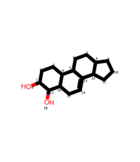 OC1CCC2C3CCC4CCCC4C3=CCC2C1O